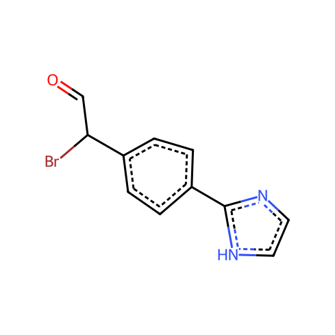 O=CC(Br)c1ccc(-c2ncc[nH]2)cc1